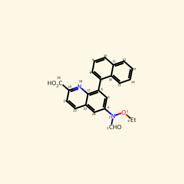 CCON(C=O)c1cc(-c2cccc3ccccc23)c2nc(C(=O)O)ccc2c1